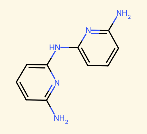 Nc1cccc(Nc2cccc(N)n2)n1